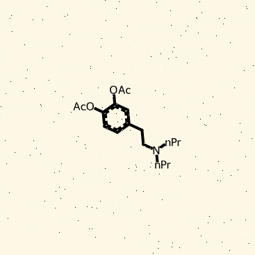 CCCN(CCC)CCc1ccc(OC(C)=O)c(OC(C)=O)c1